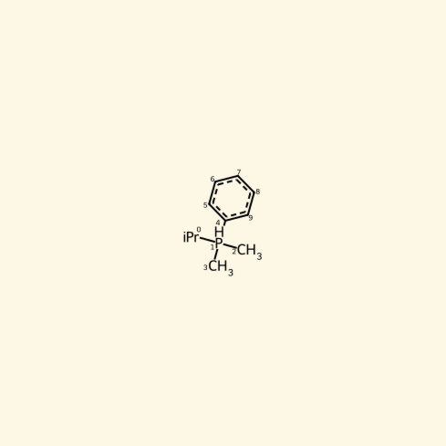 CC(C)[PH](C)(C)c1ccccc1